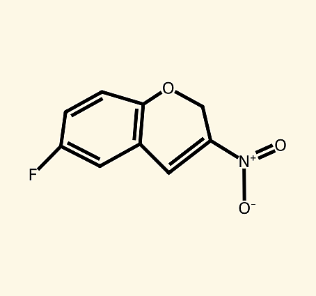 O=[N+]([O-])C1=Cc2cc(F)ccc2OC1